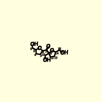 O=C(C1CCC(CO)O1)C1(CO)CCC(CO)O1